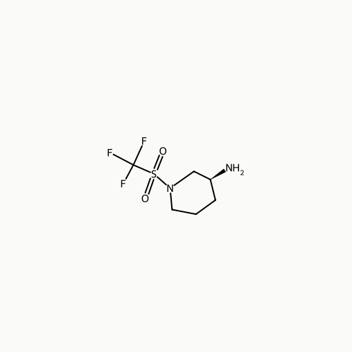 N[C@H]1CCCN(S(=O)(=O)C(F)(F)F)C1